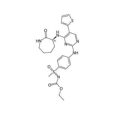 CCOC(=O)N=S(C)(=O)c1ccc(Nc2ncc(-c3cccs3)c(N[C@H]3CCCCNC3=O)n2)cc1